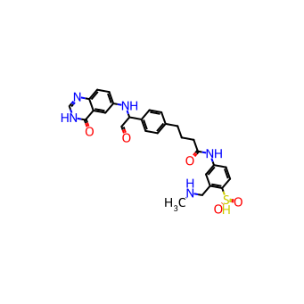 CNCc1cc(NC(=O)CCCc2ccc(C(C=O)Nc3ccc4nc[nH]c(=O)c4c3)cc2)ccc1[SH](=O)=O